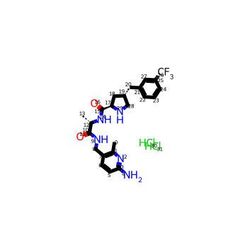 Cc1nc(N)ccc1CNC(=O)[C@H](C)NC(=O)[C@H]1C[C@H](Cc2cccc(C(F)(F)F)c2)CN1.Cl.Cl